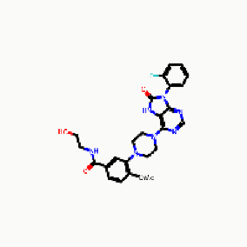 COc1ccc(C(=O)NCCO)cc1N1CCN(c2ncnc3c2[nH]c(=O)n3-c2ccccc2F)CC1